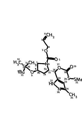 C=CCOC(=O)N1C[C@H](O[Si](C)(C)C(C)(C)C)C[C@H]1C(OC(=O)SSC)c1cc(C)n[nH]1